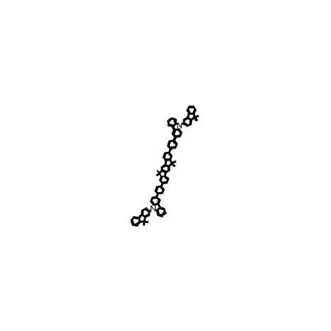 CC1(C)c2ccccc2-c2cc(-n3c4ccccc4c4cc(-c5ccc(-c6ccc7c(c6)C(C)(C)c6cc8c(cc6-7)C(C)(C)c6cc(-c7ccc(-c9ccc%10c(c9)c9ccccc9n%10-c9ccc%10c(c9)C(C)(C)c9ccccc9-%10)cc7)ccc6-8)cc5)ccc43)ccc21